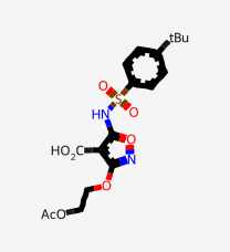 CC(=O)OCCOc1noc(NS(=O)(=O)c2ccc(C(C)(C)C)cc2)c1C(=O)O